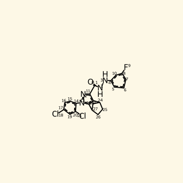 O=C(NNc1cccc(F)c1)c1nn(-c2ccc(Cl)cc2Cl)c2c1C1CCC2C1